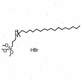 Br.CCCCCCCCCCCCCCCCCC(C)(C)NCCC[Si](OC)(OC)OC